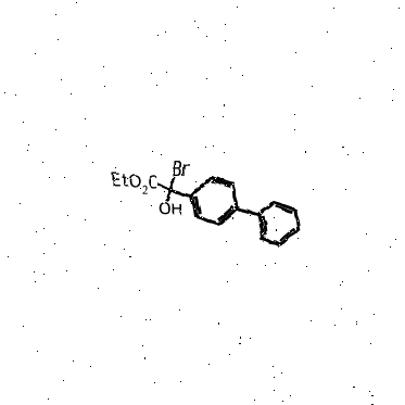 CCOC(=O)C(O)(Br)c1ccc(-c2ccccc2)cc1